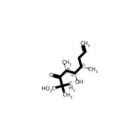 C=CC[C@H](C)[C@H](O)[C@@H](C)C(=O)C(C)(C)C(=O)O